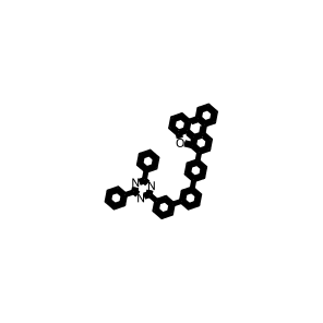 c1ccc(-c2nc(-c3ccccc3)nc(-c3cccc(-c4cccc(-c5ccc(-c6ccc7c8ccccc8c8cccc9oc6c7c98)cc5)c4)c3)n2)cc1